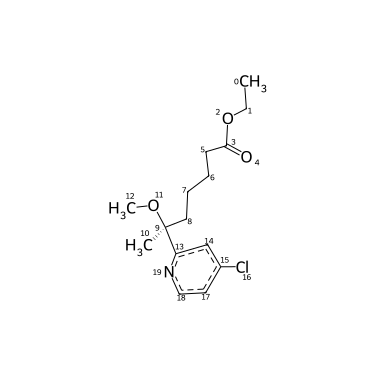 CCOC(=O)CCCC[C@](C)(OC)c1cc(Cl)ccn1